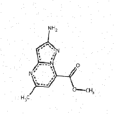 COC(=O)c1cc(C)nc2cc(N)nn12